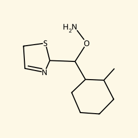 CC1CCCCC1C(ON)C1N=CCS1